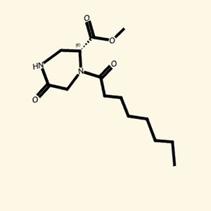 CCCCCCCC(=O)N1CC(=O)NC[C@@H]1C(=O)OC